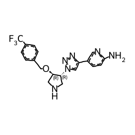 Nc1ccc(-c2cn([C@@H]3CNC[C@H]3OCc3ccc(C(F)(F)F)cc3)nn2)cn1